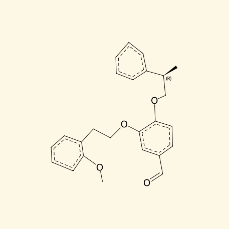 COc1ccccc1CCOc1cc(C=O)ccc1OC[C@H](C)c1ccccc1